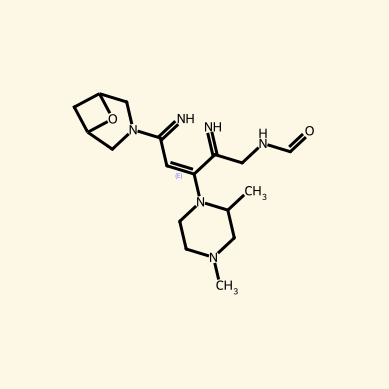 CC1CN(C)CCN1/C(=C/C(=N)N1CC2CC(C1)O2)C(=N)CNC=O